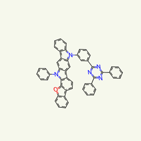 c1ccc(-c2nc(-c3ccccc3)nc(-c3cccc(-n4c5ccccc5c5cc6c(cc54)c4ccc5c7ccccc7oc5c4n6-c4ccccc4)c3)n2)cc1